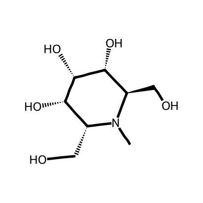 CN1[C@H](CO)[C@H](O)[C@H](O)[C@H](O)[C@H]1CO